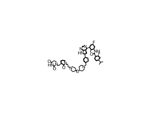 C[C](C)c1ccc(C(=O)Nc2cc(F)cc(-c3ncnc4[nH]c(-c5ccc(CN6CCC(OC7CCN(CCn8cccc(CN9CCC(=O)NC9=O)c8=O)CC7)CC6)cc5)cc34)c2C)c(F)c1